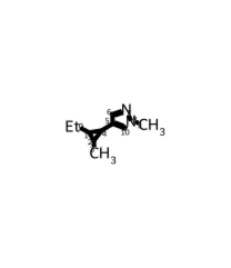 CCC1C(C)C1c1cnn(C)c1